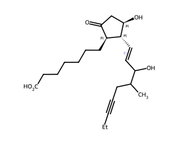 CCC#CCC(C)C(O)/C=C/[C@H]1[C@H](O)CC(=O)[C@@H]1CCCCCCC(=O)O